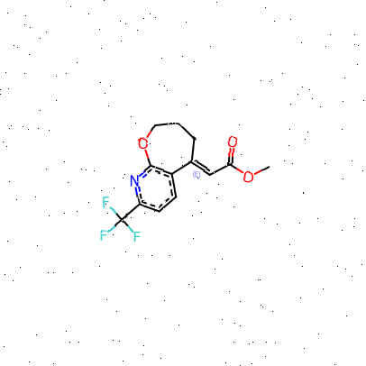 COC(=O)/C=C1\CCCOc2nc(C(F)(F)F)ccc21